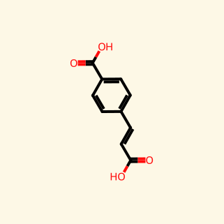 O=C(O)/C=C/c1ccc(C(=O)O)cc1